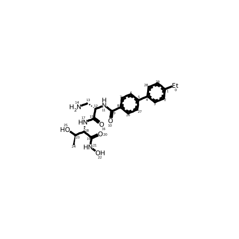 CCc1ccc(-c2ccc(C(=O)N[C@@H](CN)C(=O)N[C@H](C(=O)NO)[C@@H](C)O)cc2)cc1